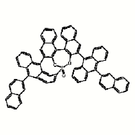 O=P12Oc3c(-c4c5ccccc5c(-c5ccc6ccccc6c5)c5ccccc45)cc4ccccc4c3-c3c(c(cc4ccccc34)-c3c4ccccc4c(-c4ccc5ccccc5c4)c4ccc1cc34)O2